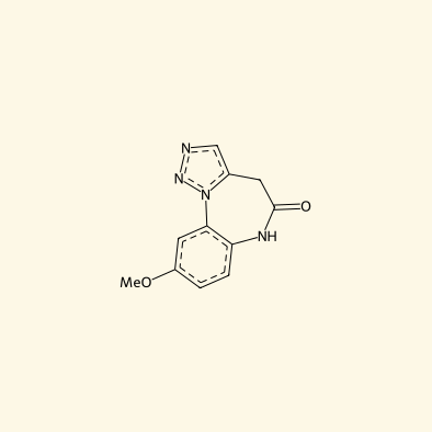 COc1ccc2c(c1)-n1nncc1CC(=O)N2